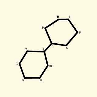 [CH]1CCC(C2[CH]CCCC2)CC1